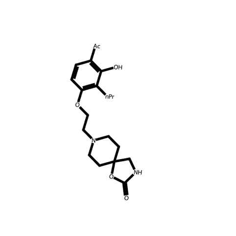 CCCc1c(OCCN2CCC3(CC2)CNC(=O)O3)ccc(C(C)=O)c1O